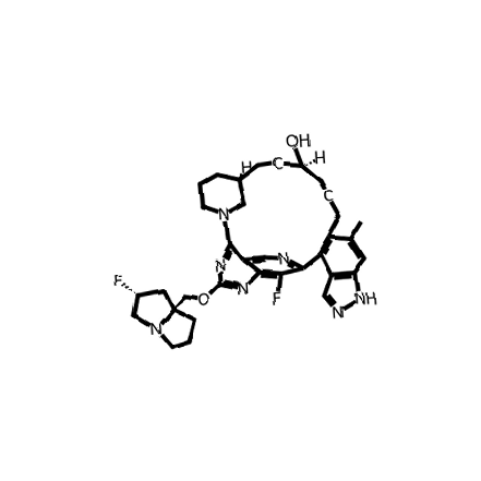 Cc1cc2[nH]ncc2c2c1CCC[C@H](O)CC[C@H]1CCCN(C1)c1nc(OC[C@@]34CCCN3C[C@H](F)C4)nc3c(F)c-2ncc13